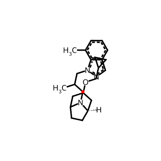 Cc1cccc2cnn(CC(C)CN3C4CC[C@@H]3CC(OCC3CC3)C4)c12